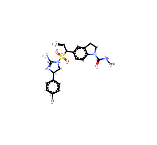 C=CC(c1ccc2c(c1)CCN2C(=O)NCCCC)S(=O)(=O)N1CC(c2ccc(Cl)cc2)N=C1N